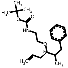 C=CC[C@@H](OCCNC(=O)OC(C)(C)C)C(C)Cc1ccccc1